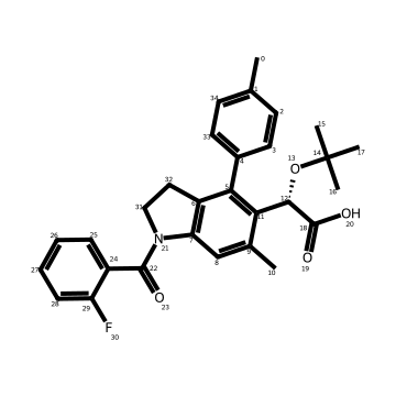 Cc1ccc(-c2c3c(cc(C)c2[C@H](OC(C)(C)C)C(=O)O)N(C(=O)c2ccccc2F)CC3)cc1